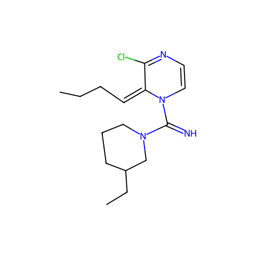 CCC/C=C1\C(Cl)=NC=CN1C(=N)N1CCCC(CC)C1